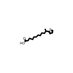 CC(CCCCCCCCCC(=O)O)c1cccs1